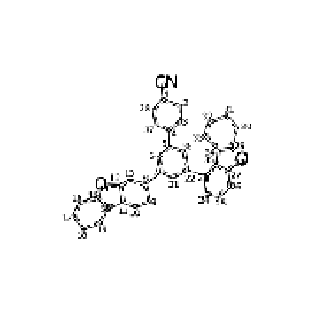 N#Cc1ccc(-c2cc(-c3ccc4c(c3)oc3ccccc34)cc(-c3cccc4oc5ccccc5c34)c2)cc1